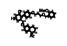 COc1ccccc1COCCCOc1ccc(N2C(=O)CNC[C@@H]2COc2ccc3c(c2)CCCN3C(C)=O)cc1